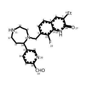 CCc1cc2ccc(CN3CCNCCC3c3ccc(C=O)nc3)c(F)c2[nH]c1=O